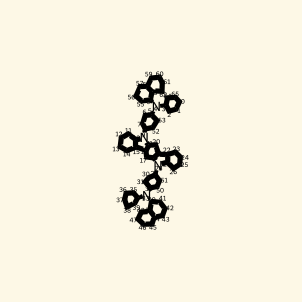 c1ccc(N(c2ccc(-n3c4ccccc4c4cc5c(cc43)c3ccccc3n5-c3ccc(N(c4ccccc4)c4cccc5ccccc45)cc3)cc2)c2cccc3ccccc23)cc1